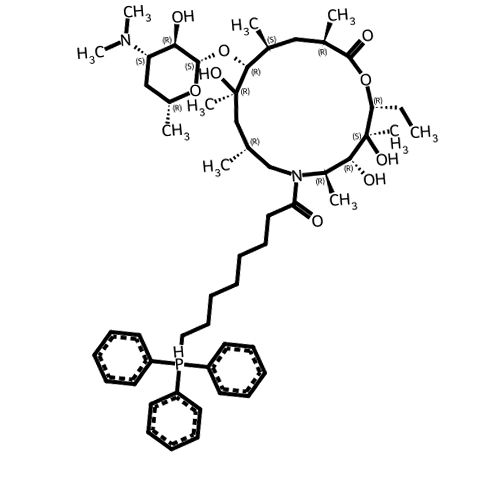 CC[C@H]1OC(=O)[C@H](C)C[C@H](C)[C@@H](O[C@@H]2O[C@H](C)C[C@H](N(C)C)[C@H]2O)[C@](C)(O)C[C@@H](C)CN(C(=O)CCCCCCC[PH](c2ccccc2)(c2ccccc2)c2ccccc2)[C@H](C)[C@@H](O)[C@]1(C)O